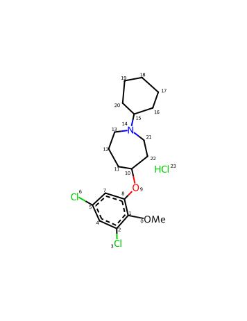 COc1c(Cl)cc(Cl)cc1OC1CCCN(C2CCCCC2)CC1.Cl